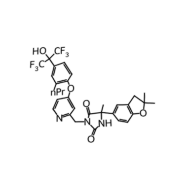 CCCc1cc(C(O)(C(F)(F)F)C(F)(F)F)ccc1Oc1ccnc(CN2C(=O)NC(C)(c3ccc4c(c3)CC(C)(C)O4)C2=O)c1